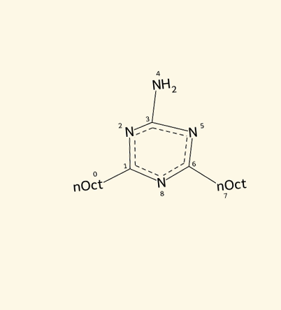 CCCCCCCCc1nc(N)nc(CCCCCCCC)n1